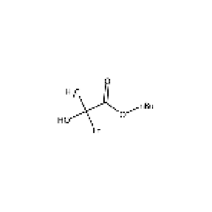 CCCCOC(=O)C(C)(O)CC